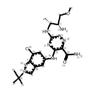 COC[C@H](N)[C@@H](C)Nc1nnc(C(N)=O)c(Nc2cc(Cl)c3nn(C(C)(C)C)cc3c2)n1